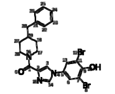 O=C(c1cn(-c2cc(Br)c(O)c(Br)c2)cn1)N1CCC(Cc2ccccc2)CC1